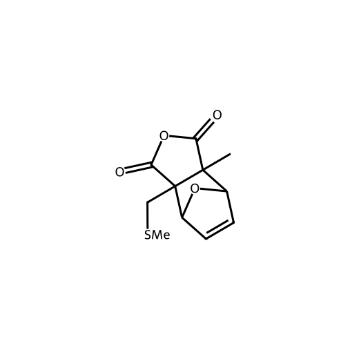 CSCC12C(=O)OC(=O)C1(C)C1C=CC2O1